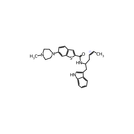 C/C=C\CC(Cc1c[nH]c2ccccc12)NC(=O)c1cc2ccc(N3CCN(C)CC3)cc2s1